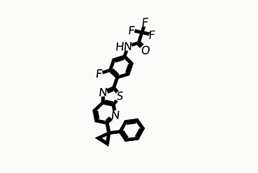 O=C(Nc1ccc(-c2nc3ccc(C4(c5ccccc5)CC4)nc3s2)c(F)c1)C(F)(F)F